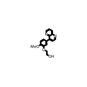 COc1ccc(-c2ccnc3cccnc23)cc1OCCO